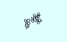 COc1ccc(-c2nc(C(=O)N3CCC[C@H]3C3OC(C)O3)c([C@H](C)NC(=O)OC(C)(C)C)o2)c2ccc(C(F)(F)F)nc12